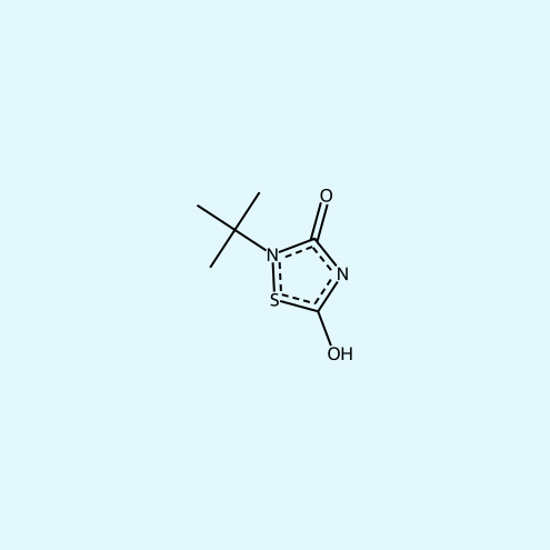 CC(C)(C)n1sc(O)nc1=O